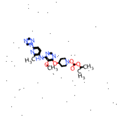 COc1c(Nc2ccc(-n3cncn3)nc2C)ncnc1OC1CCN(OC(=O)OC(C)C)CC1